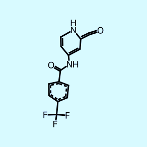 O=C=C1C=C(NC(=O)c2ccc(C(F)(F)F)cc2)C=CN1